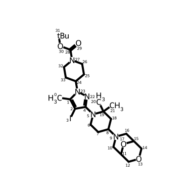 Cc1c(I)c(N2CCC(N3CC4COCC(C3)O4)CC2(C)C)nn1C1CCN(C(=O)OC(C)(C)C)CC1